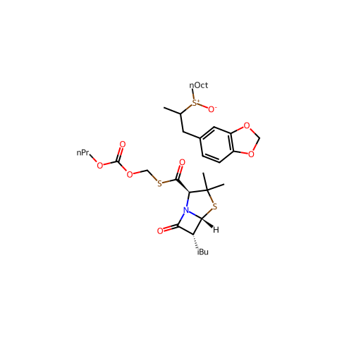 CCCCCCCC[S+]([O-])C(C)Cc1ccc2c(c1)OCO2.CCCOC(=O)OCSC(=O)[C@@H]1N2C(=O)[C@@H](C(C)CC)[C@H]2SC1(C)C